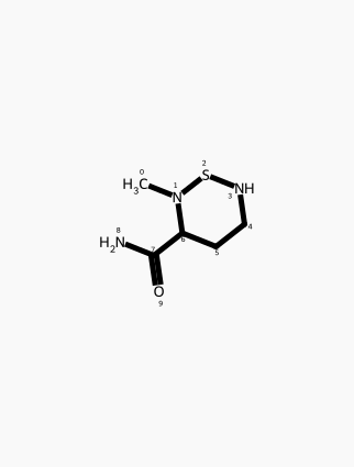 CN1SNCCC1C(N)=O